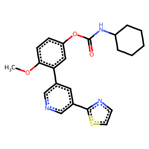 COc1ccc(OC(=O)NC2CCCCC2)cc1-c1cncc(-c2nccs2)c1